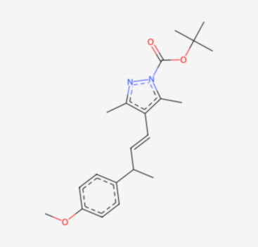 COc1ccc(C(C)/C=C/c2c(C)nn(C(=O)OC(C)(C)C)c2C)cc1